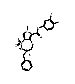 Cn1cc2c(c1C(=O)Nc1ccc(F)c(F)c1)OC[C@@](C)(Cc1ccccc1)NS2(=O)=O